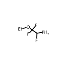 CCOC(F)(F)C(F)P